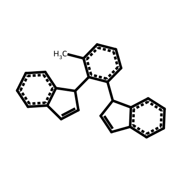 Cc1cccc(C2C=Cc3ccccc32)c1C1C=Cc2ccccc21